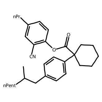 CCCCCC(C)Cc1ccc(C2(C(=O)Oc3ccc(CCC)cc3C#N)CCCCC2)cc1